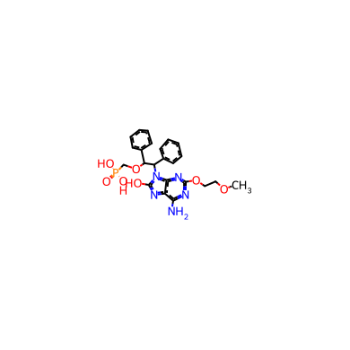 COCCOc1nc(N)c2nc(O)n(C(c3ccccc3)C(OCP(=O)(O)O)c3ccccc3)c2n1